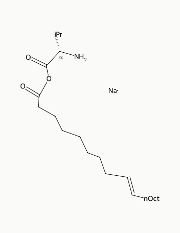 CCCCCCCCC=CCCCCCCCC(=O)OC(=O)[C@@H](N)C(C)C.[Na]